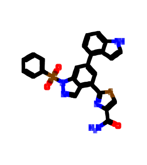 NC(=O)c1csc(-c2cc(-c3cccc4[nH]ccc34)cc3c2cnn3S(=O)(=O)c2ccccc2)n1